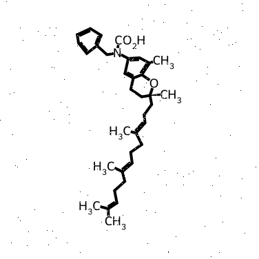 CC(C)=CCC/C(C)=C/CC/C(C)=C/CC[C@]1(C)CCc2cc(N(Cc3ccccc3)C(=O)O)cc(C)c2O1